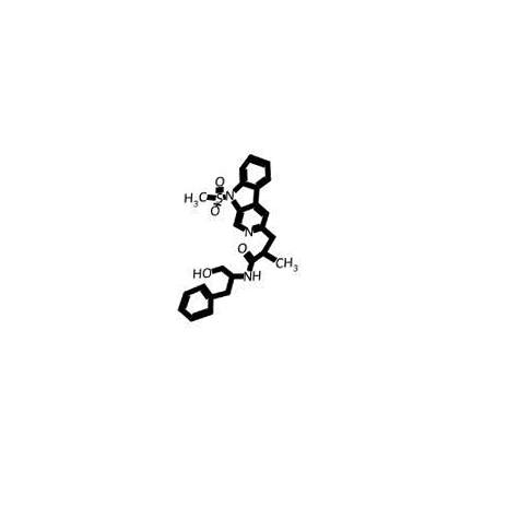 C[C](Cc1cc2c3ccccc3n(S(C)(=O)=O)c2cn1)C(=O)NC(CO)Cc1ccccc1